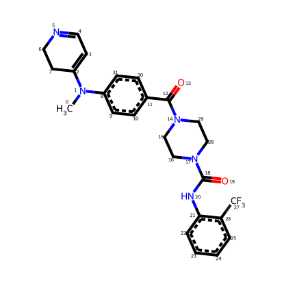 CN(C1=CC=NCC1)c1ccc(C(=O)N2CCN(C(=O)Nc3ccccc3C(F)(F)F)CC2)cc1